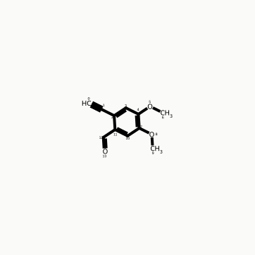 C#Cc1cc(OC)c(OC)cc1C=O